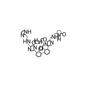 COc1nc(-c2cccc(-c3cccc(-c4cnc(CNCC5CCC(=O)N5)c(OC)n4)c3Cl)c2Cl)cnc1CNCCc1ncc[nH]1